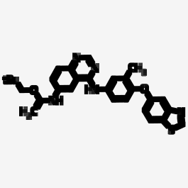 C=C(Nc1ccc2ncnc(Nc3ccc(Oc4ccc5scnc5c4)c(C)c3)c2c1)OCC(C)(C)C